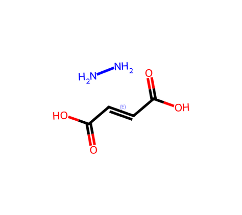 NN.O=C(O)/C=C/C(=O)O